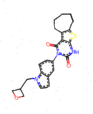 O=c1[nH]c2sc3c(c2c(=O)n1-c1ccc2c(ccn2CC2COC2)c1)CCCCC3